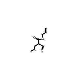 C=CCOC(=O)C(C=O)CCC